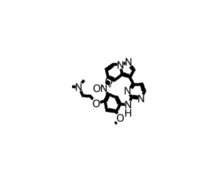 COc1cc(OCCN(C)C)c([N+](=O)[O-])cc1Nc1nccc(-c2cnn3ccccc23)n1